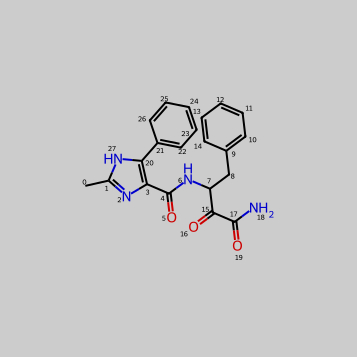 Cc1nc(C(=O)NC(Cc2ccccc2)C(=O)C(N)=O)c(-c2ccccc2)[nH]1